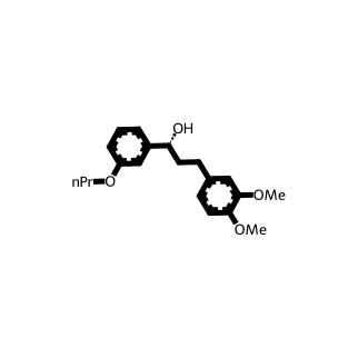 CCCOc1cccc([C@H](O)CCc2ccc(OC)c(OC)c2)c1